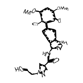 COc1cc(OC)c(Cl)c(-c2ccc3c(NC(=O)c4cnn(CCO)c4)n[nH]c3c2)c1Cl